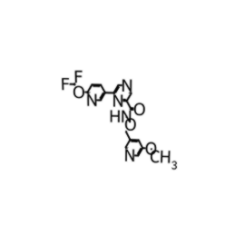 COc1cncc(CONC(=O)c2cncc(-c3ccc(OC(F)F)nc3)n2)c1